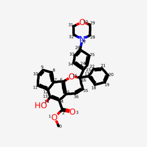 COC(=O)c1c2c(c3ccccc3c1O)OC(c1ccccc1)(c1ccc(N3CCOCC3)cc1)C=C2